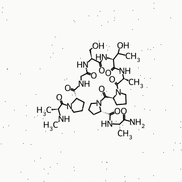 CN[C@@H](C)C(=O)N1CCC[C@H]1C(=O)NCC(=O)N[C@@H](CO)C(=O)N[C@H](C(=O)N[C@@H](C)C(=O)N1CCC[C@H]1C(=O)N1CCC[C@H]1C(=O)N[C@@H](C)C(N)=O)C(C)O